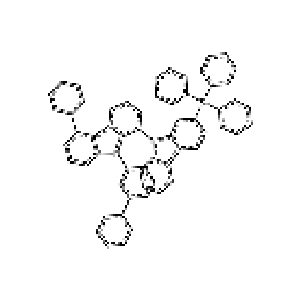 c1ccc(-c2cccc(-n3c4cccc(-c5ccccc5)c4c4cccc(-n5c6ccccc6c6ccc([Si](c7ccccc7)(c7ccccc7)c7ccccc7)cc65)c43)c2)cc1